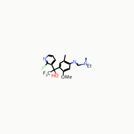 CCN(C)/C=N/c1cc(OC)c(C(O)(c2cccnc2F)C(F)(F)F)cc1C